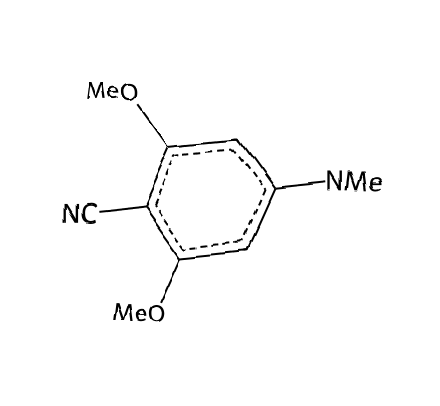 CNc1cc(OC)c(C#N)c(OC)c1